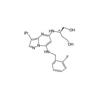 CC(C)c1cnn2c(NCc3ccccc3F)cc(N[C@@H](CO)CCO)nc12